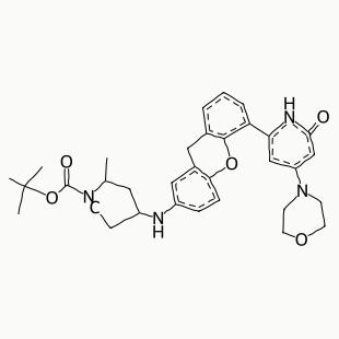 CC1CC(Nc2ccc3c(c2)Cc2cccc(-c4cc(N5CCOCC5)cc(=O)[nH]4)c2O3)CCN1C(=O)OC(C)(C)C